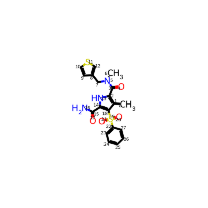 Cc1c(C(=O)N(C)Cc2ccsc2)[nH]c(C(N)=O)c1S(=O)(=O)c1ccccc1